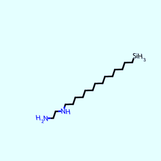 NCCNCCCCCCCCCCCCCC[SiH3]